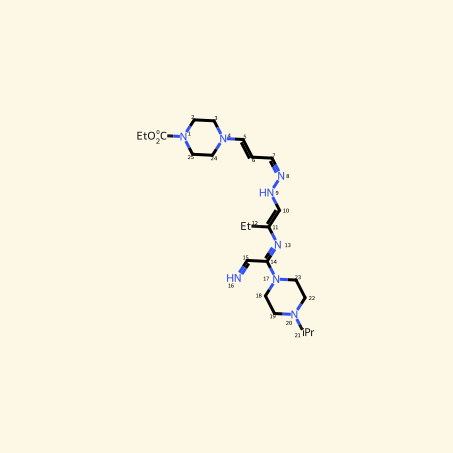 CCOC(=O)N1CCN(/C=C/C=N\N/C=C(CC)/N=C(\C=N)N2CCN(C(C)C)CC2)CC1